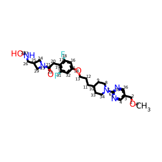 COCc1cnc(N2CCC(CCCOc3cc(F)c(CC(=O)N4CC(CNO)C4)c(F)c3)CC2)nc1